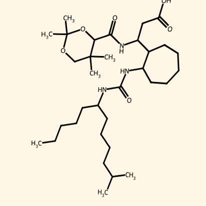 CCCCCC(CCCCC(C)C)NC(=O)NC1CCCCCC1C(CC(=O)O)NC(=O)C1OC(C)(C)OCC1(C)C